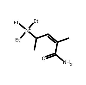 CC[N+](CC)(CC)C(C)C=C(C)C(N)=O